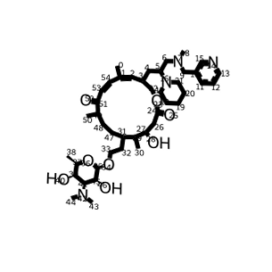 CC1=CC(CC(CN(C)Cc2cccnc2)N2CCCCC2)COC(=O)CC(O)C(C)C(CCO[C@@H]2O[C@H](C)[C@@H](O)[C@H](N(C)C)[C@H]2O)CCC(C)C(=O)C=C1